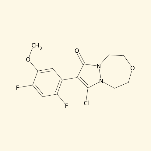 COc1cc(-c2c(Cl)n3n(c2=O)CCOCC3)c(F)cc1F